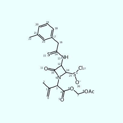 C=C(C)C(C(=O)OCOC(C)=O)N1C(=O)C(NC(=S)Cc2cccc(C)c2)C1[S+]([O-])Cl